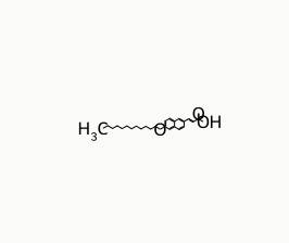 CCCCCCCCCCCCOc1ccc2cc(/C=C/C(=O)O)ccc2c1